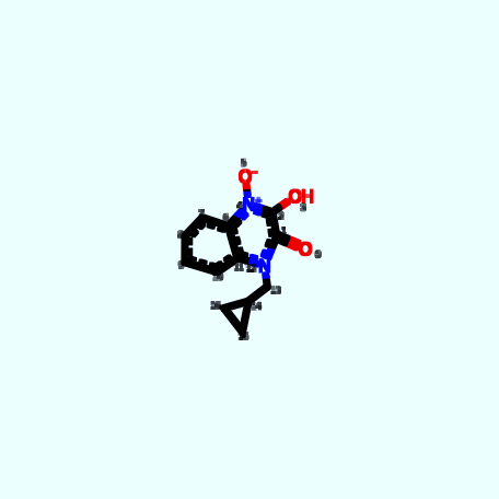 O=c1c(O)[n+]([O-])c2ccccc2n1CC1CC1